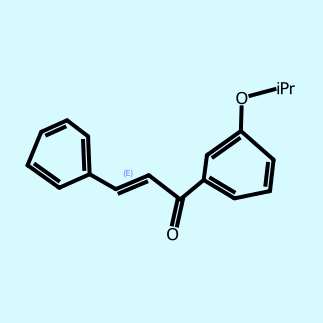 CC(C)Oc1cccc(C(=O)/C=C/c2ccccc2)c1